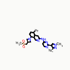 CC(C)c1ccc(N2CC(CS(C)(=O)=O)C2)c2cnc(Nc3ccnc(-c4cn(C)nc4C#N)n3)cc12